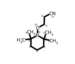 CC1(C)CCCC(C)(C)N1OCCC#N